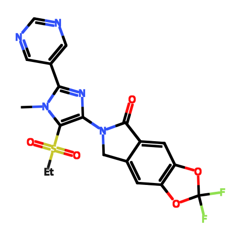 CCS(=O)(=O)c1c(N2Cc3cc4c(cc3C2=O)OC(F)(F)O4)nc(-c2cncnc2)n1C